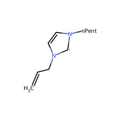 C=CCN1[C]N(CCCCC)C=C1